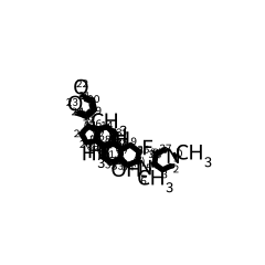 CN1CCC(N(C)[C@H]2CC[C@]3(C)[C@H]4CC[C@]5(C)[C@@H](c6ccc(=O)oc6)CC[C@]5(O)[C@@H]4CC[C@]3(O)C2)[C@H](F)C1